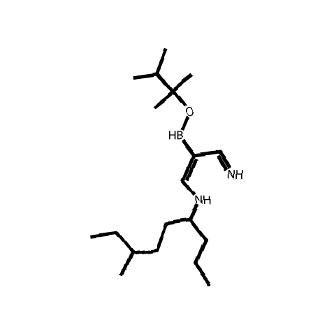 CCCC(CCC(C)CC)N/C=C(/BOC(C)(C)C(C)C)C=N